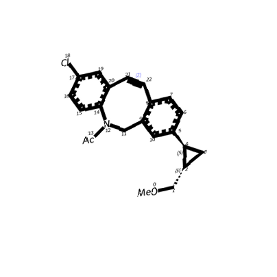 COC[C@H]1C[C@@H]1c1ccc2c(c1)CN(C(C)=O)c1ccc(Cl)cc1/C=C\2